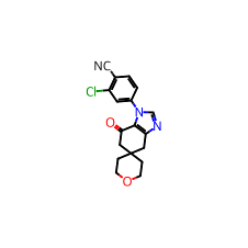 N#Cc1ccc(-n2cnc3c2C(=O)CC2(CCOCC2)C3)cc1Cl